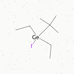 C[CH2][Ge]([I])([CH2]C)[C](C)(C)C